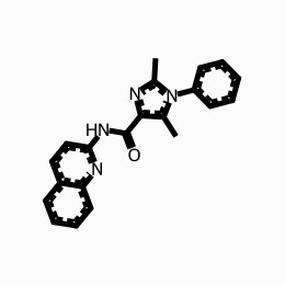 Cc1nc(C(=O)Nc2ccc3ccccc3n2)c(C)n1-c1ccccc1